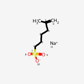 C=C(C)CCCCS(=O)(=O)[O-].[Na+]